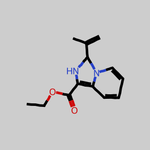 C=C(C)C1NC(C(=O)OCC)=C2C=CC=CN21